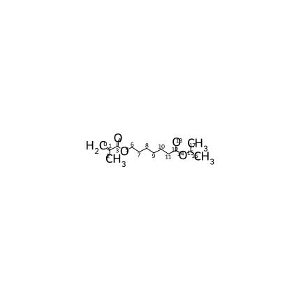 C=C(C)C(=O)OCCCCCCC(=O)OC(C)C